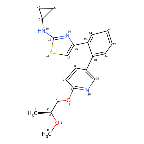 CO[C@@H](C)COc1ccc(-c2ccccc2-c2csc(NC3CC3)n2)cn1